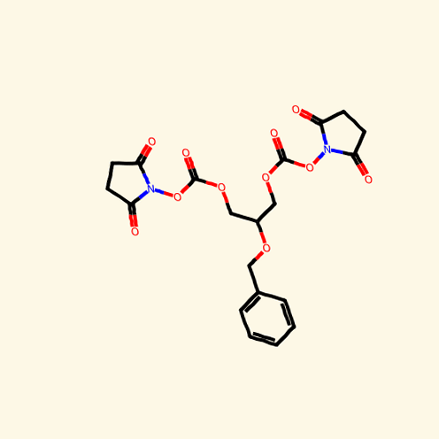 O=C(OCC(COC(=O)ON1C(=O)CCC1=O)OCc1ccccc1)ON1C(=O)CCC1=O